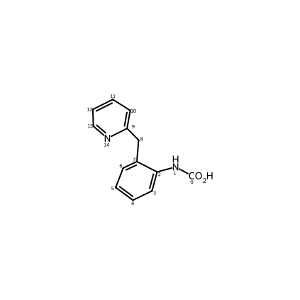 O=C(O)Nc1ccccc1Cc1ccccn1